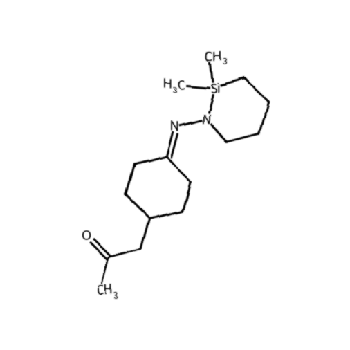 CC(=O)CC1CCC(=NN2CCCC[Si]2(C)C)CC1